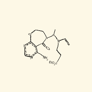 C=CN(CCC(=O)OCC)N(C)N1CCOc2ncnc(N)c2C1=O